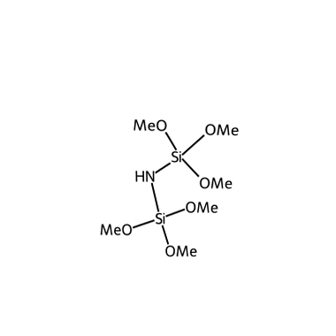 CO[Si](N[Si](OC)(OC)OC)(OC)OC